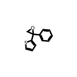 c1ccc(C2(c3cccs3)CO2)cc1